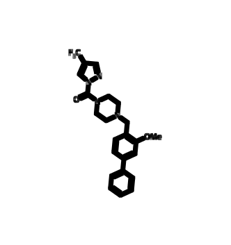 COc1cc(-c2ccccc2)ccc1CN1CCN(C(=O)n2cc(C(F)(F)F)cn2)CC1